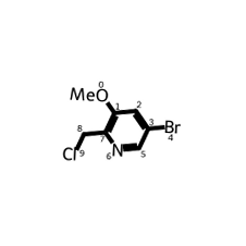 COc1cc(Br)cnc1CCl